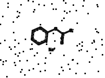 O=[Si]([O-])Oc1ccccc1.[Na+]